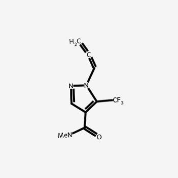 C=C=Cn1ncc(C(=O)NC)c1C(F)(F)F